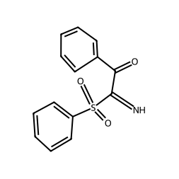 N=C(C(=O)c1ccccc1)S(=O)(=O)c1ccccc1